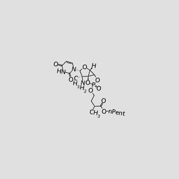 CCCCCOC(=O)C(C)CCO[P@@]1(=O)OC2[C@H]3O[C@@H](n4ccc(=O)[nH]c4=O)[C@](C)(N)[C@@]23O1